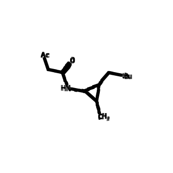 CC(=O)CC(=O)NC1C(C)C1CC(C)(C)C